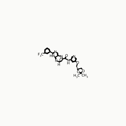 CC1(C)OC[C@H](COc2cncc(NC(=O)C3C[C@H]4CN3C3=CN=C(c5cccc(C(F)(F)F)c5)NC3=N4)c2)O1